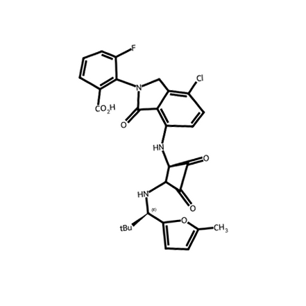 Cc1ccc([C@H](NC2C(=O)C(=O)C2Nc2ccc(Cl)c3c2C(=O)N(c2c(F)cccc2C(=O)O)C3)C(C)(C)C)o1